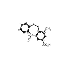 Cc1cc(C(=O)O)cc2c1CCc1ccccc1[S+]2[O-]